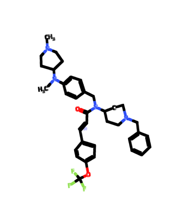 CN1CCC(N(C)c2ccc(CN(C(=O)/C=C/c3ccc(OC(F)(F)F)cc3)C3CCN(Cc4ccccc4)CC3)cc2)CC1